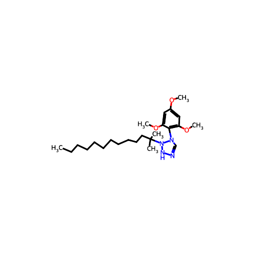 CCCCCCCCCCCC(C)(C)N1NN=CN1c1c(OC)cc(OC)cc1OC